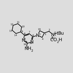 CC(C)(C)N(CC1CN(c2cc(C3CCCCC3)nc(N)n2)C1)C(=O)O